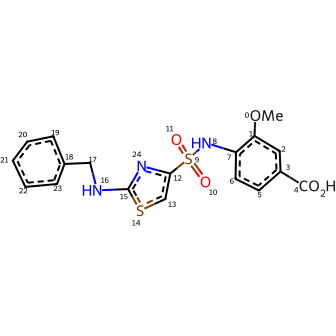 COc1cc(C(=O)O)ccc1NS(=O)(=O)c1csc(NCc2ccccc2)n1